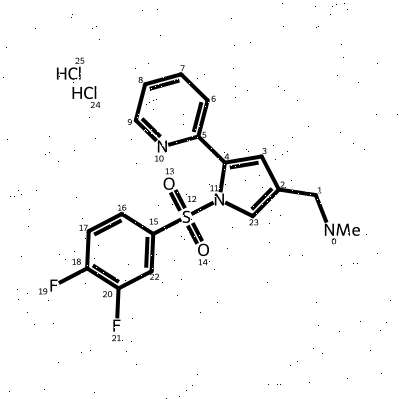 CNCc1cc(-c2ccccn2)n(S(=O)(=O)c2ccc(F)c(F)c2)c1.Cl.Cl